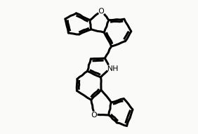 c1ccc2c(c1)oc1cccc(-c3cc4ccc5oc6ccccc6c5c4[nH]3)c12